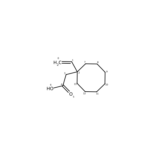 C=CC1(CC(=O)O)CCCCCCC1